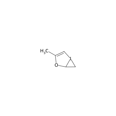 CC1=CI2CC2O1